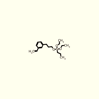 C=Cc1cccc(CCCO[Si](CCC)(OCC)OCC)c1